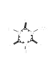 CSn1c(=O)n(C(C)C)c(=O)n(C(C)C)c1=O